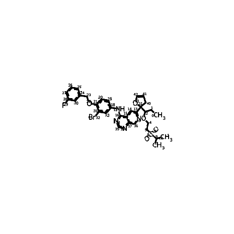 CCC(OCCS(=O)(=O)C(C)C)C1(c2cc3c(Nc4ccc(OCc5cccc(F)c5)c(Br)c4)ncnc3cn2)CC=CO1